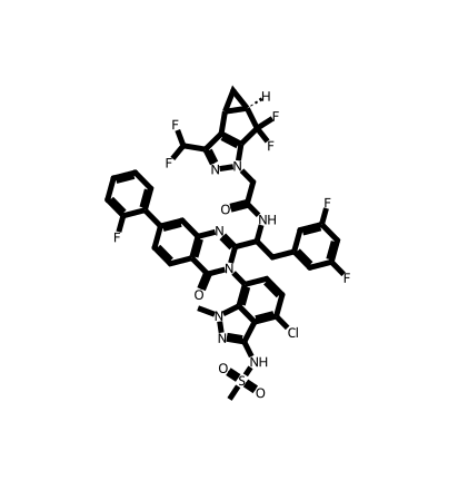 Cn1nc(NS(C)(=O)=O)c2c(Cl)ccc(-n3c(C(Cc4cc(F)cc(F)c4)NC(=O)Cn4nc(C(F)F)c5c4C(F)(F)[C@@H]4CC54)nc4cc(-c5ccccc5F)ccc4c3=O)c21